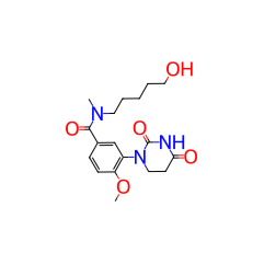 COc1ccc(C(=O)N(C)CCCCCO)cc1N1CCC(=O)NC1=O